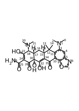 CN(C)c1cc2ncoc2c2c1C(C)(C)[C@H]1C[C@H]3[C@H](N(C)C)C(O)=C(C(N)=O)C(=O)[C@@]3(O)C(O)=C1C2=O